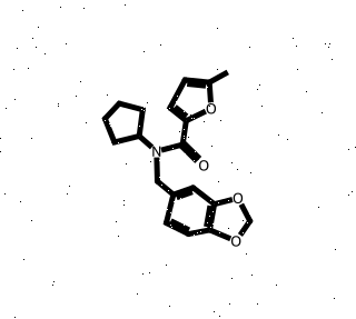 Cc1ccc(C(=O)N(Cc2ccc3c(c2)OCO3)C2CCCC2)o1